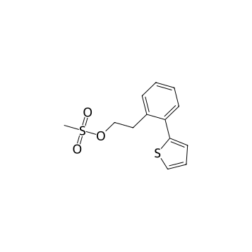 CS(=O)(=O)OCCc1ccccc1-c1cccs1